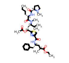 CCCC[C@H](NC(=O)[C@H]1CCCN1C)C(=O)N(C)[C@H](C[C@@H](OC(C)=O)c1nc(C(=O)N[C@@H](Cc2ccccc2)C[C@H](C)C(=O)OCC)cs1)C(C)C